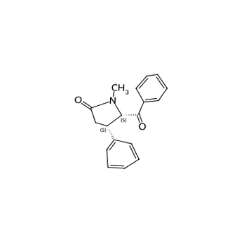 CN1C(=O)C[C@@H](c2ccccc2)[C@H]1C(=O)c1ccccc1